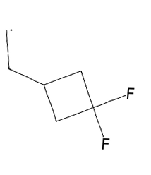 [CH2]CC1CC(F)(F)C1